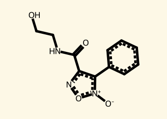 O=C(NCCO)c1no[n+]([O-])c1-c1ccccc1